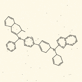 CC1CC2C=CC=CC2C=C1N(c1ccccc1)c1ccc(C2=CCC(N(c3ccc4ccccc4c3)C3C=CC=CC3)C=C2)cc1